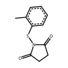 Cc1ccccc1SN1C(=O)CCC1=O